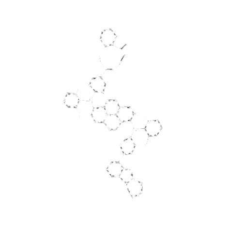 C=C1/C=C\C=C(\c2ccc(N(c3c(CCC)cccc3CCC)c3ccc4ccc5c(N(c6ccc(-c7cccc8c7oc7ccccc78)cc6)c6c(CCC)cccc6CCC)ccc6ccc3c4c65)cc2)COc2ccccc21